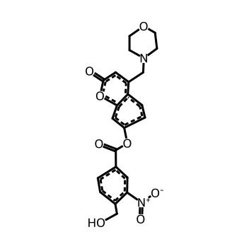 O=C(Oc1ccc2c(CN3CCOCC3)cc(=O)oc2c1)c1ccc(CO)c([N+](=O)[O-])c1